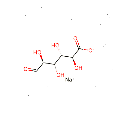 O=C[C@@H](O)[C@@H](O)[C@H](O)[C@H](O)C(=O)[O-].[Na+]